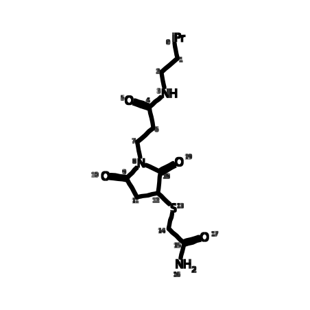 CC(C)CCNC(=O)CCN1C(=O)CC(SCC(N)=O)C1=O